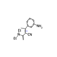 C=C(/C(C#N)=C(\C)c1cccc(N)c1)N(CC)CC